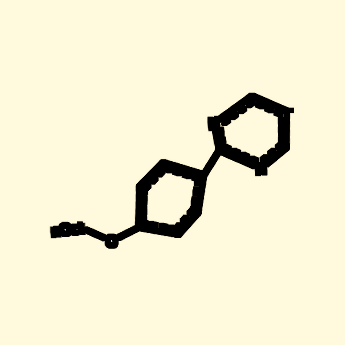 CCCCCCCCOc1ccc(-c2nc[c]cn2)cc1